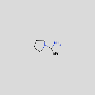 CCCC(N)N1CCCC1